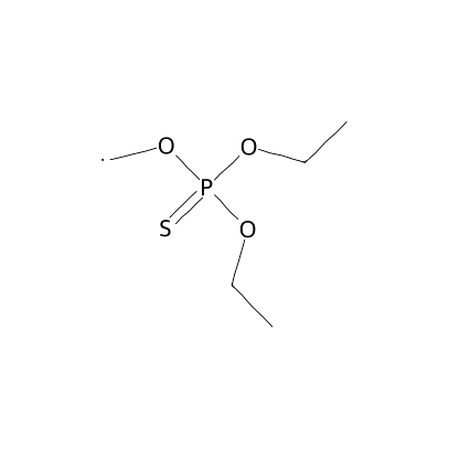 [CH2]OP(=S)(OCC)OCC